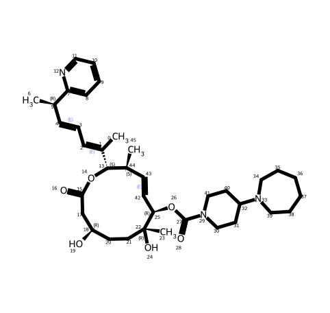 C/C(=C\C=C\[C@@H](C)c1ccccn1)[C@H]1OC(=O)C[C@H](O)CC[C@@](C)(O)[C@H](OC(=O)N2CCC(N3CCCCCC3)CC2)/C=C/[C@@H]1C